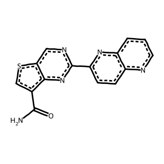 NC(=O)c1csc2cnc(-c3ccc4ncccc4n3)nc12